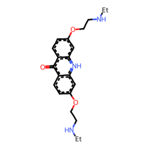 CCNCCOc1ccc2c(=O)c3ccc(OCCNCC)cc3[nH]c2c1